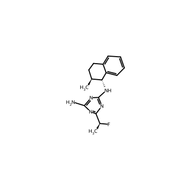 C[C@H](F)c1nc(N)nc(N[C@H]2c3ccccc3CC[C@@H]2C)n1